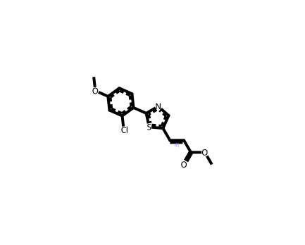 COC(=O)/C=C/c1cnc(-c2ccc(OC)cc2Cl)s1